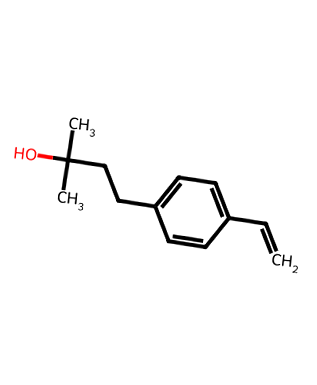 C=Cc1ccc(CCC(C)(C)O)cc1